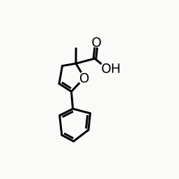 CC1(C(=O)O)CC=C(c2ccccc2)O1